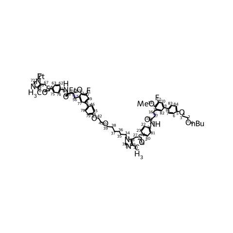 CCCCOCCOc1ccc(-c2cc(F)c(OC)c(/C=C/C(=O)Nc3ccc([S+]([O-])Cc4c(C)ncn4CCCCCCOCCOc4ccc(-c5cc(F)c(OCC)c(/C=C/C(=O)Nc6ccc([S+]([O-])Cc7c(C)ncn7CC)cc6)c5)cc4)cc3)c2)cc1